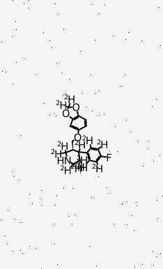 [2H]c1c([2H])c(C2([2H])[C@H](COc3ccc4c(c3)OC([2H])([2H])O4)C([2H])([2H])NC([2H])([2H])C2([2H])[2H])c([2H])c([2H])c1F